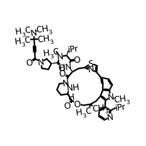 CC(C)c1ncccc1-c1c2c3cc(ccc3n1C)-c1csc(n1)C[C@H](NC(=O)[C@H](C(C)C)N(C)C(=O)[C@H]1CCN(C(=O)C#CC(C)(C)N(C)C)C1)C(=O)N1CCC[C@H](N1)C(=O)OCC(C)(C)C2